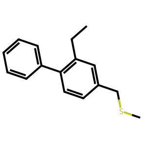 CCc1cc(CSC)ccc1-c1ccccc1